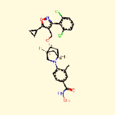 Cc1cc(C(=O)NO)ccc1N1C[C@@H]2C[C@H]1C[C@H]2OCc1c(-c2c(Cl)cccc2Cl)noc1C1CC1